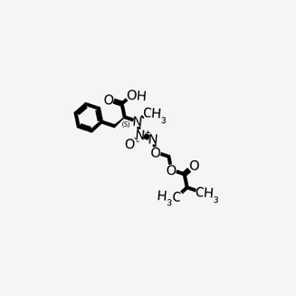 CC(C)C(=O)OCON=[N+]([O-])N(C)[C@@H](Cc1ccccc1)C(=O)O